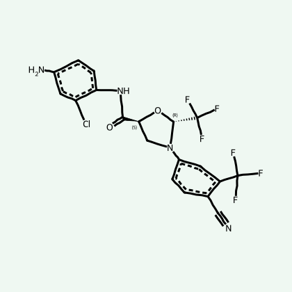 N#Cc1ccc(N2C[C@@H](C(=O)Nc3ccc(N)cc3Cl)O[C@@H]2C(F)(F)F)cc1C(F)(F)F